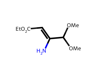 CCOC(=O)C=C(N)C(OC)OC